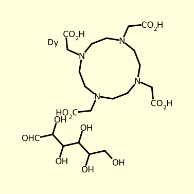 O=C(O)CN1CCN(CC(=O)O)CCN(CC(=O)O)CCN(CC(=O)O)CC1.O=CC(O)C(O)C(O)C(O)CO.[Dy]